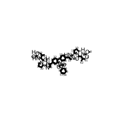 COC(=O)N[C@H](C(=O)N1CCC[C@H]1c1ncc(-c2ccc3c4ccc(-c5cnc([C@@H]6CCCN6C(=O)[C@@H](NC(=O)O)C(C)C)[nH]5)cc4n(S(=O)(=O)c4ccccc4)c3c2)[nH]1)C(C)C